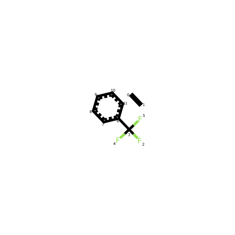 C=C.FC(F)(F)c1ccccc1